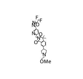 COCCN1CCC(c2ccc3c(c2)C(=O)N(Cc2ccc(-c4nnc(C(F)F)o4)cn2)C(=O)C3(C)C)CC1